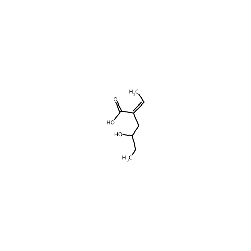 CC=C(CC(O)CC)C(=O)O